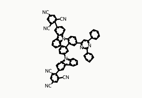 N#Cc1cc(C#N)c(-c2ccc3c(c2)c2ccccc2n3-c2cccc(-c3cc(-c4cc(-c5ccccc5)nc(-c5ccccc5)n4)ccc3-n3c4ccccc4c4cc(-c5c(C#N)cc(C#N)cc5C#N)ccc43)c2)c(C#N)c1